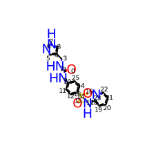 O=C(NCc1cn[nH]c1)Nc1ccc(S(=O)(=O)Nc2ccccn2)cc1